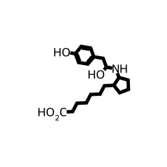 O=C(O)CCCCCCC1CCCC1NC(O)Cc1ccc(O)cc1